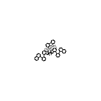 CC(C)(C)C1=Cc2c(-c3ccccc3-c3cccc4ccccc34)cccc2[CH]1[Zr]([Cl])([Cl])([c]1cccc2c1[SiH2]c1ccccc1-2)[CH]1C(C(C)(C)C)=Cc2c(-c3ccccc3-c3cccc4ccccc34)cccc21